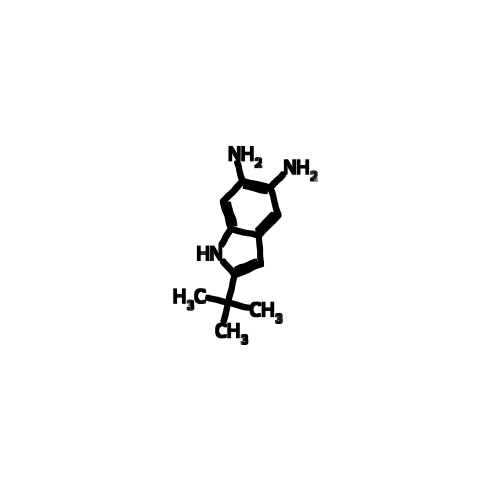 CC(C)(C)c1cc2cc(N)c(N)cc2[nH]1